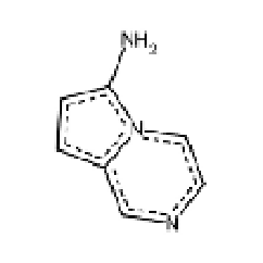 Nc1ccc2cnccn12